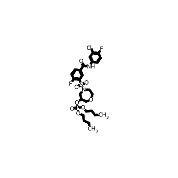 CCCCOP(=O)(OCCCC)OC1COCCN(S(=O)(=O)c2cc(C(=O)Nc3ccc(F)c(Cl)c3)ccc2F)C1